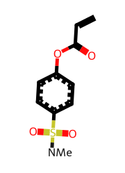 C=CC(=O)Oc1ccc(S(=O)(=O)NC)cc1